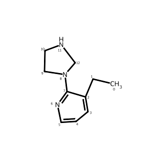 CCc1cccnc1N1CCNC1